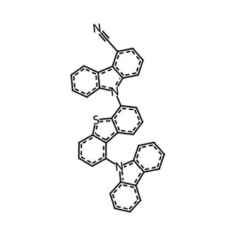 N#Cc1cccc2c1c1ccccc1n2-c1cccc2c1sc1cccc(-n3c4ccccc4c4ccccc43)c12